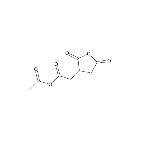 CC(=O)OC(=O)CC1CC(=O)OC1=O